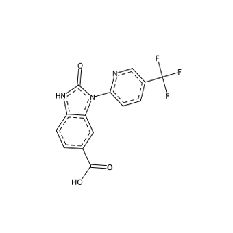 O=C(O)c1ccc2[nH]c(=O)n(-c3ccc(C(F)(F)F)cn3)c2c1